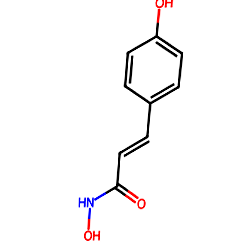 O=C(C=Cc1ccc(O)cc1)NO